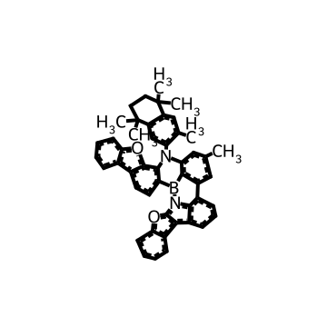 Cc1cc2c3c(c1)N(c1cc4c(cc1C)C(C)(C)CCC4(C)C)c1c(ccc4c1oc1ccccc14)B3n1c3oc4ccccc4c3c3cccc-2c31